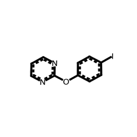 Ic1ccc(Oc2ncccn2)cc1